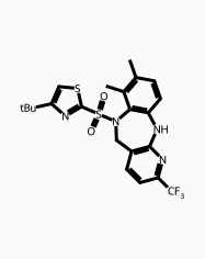 Cc1ccc2c(c1C)N(S(=O)(=O)c1nc(C(C)(C)C)cs1)Cc1ccc(C(F)(F)F)nc1N2